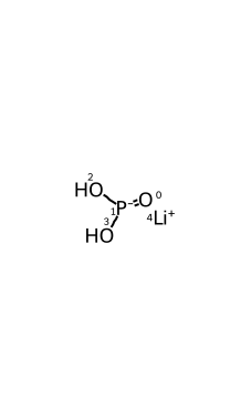 O=[P-](O)O.[Li+]